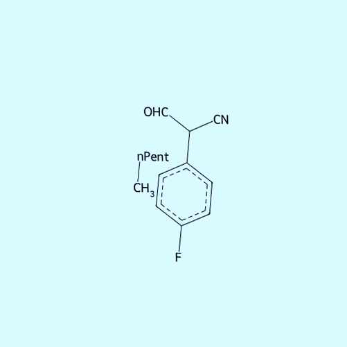 CCCCCC.N#CC(C=O)c1ccc(F)cc1